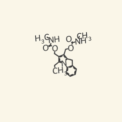 CCc1c(COC(=O)NC)c(COC(=O)NC)c2n1-c1ccccc1C2